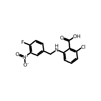 O=C(O)c1c(Cl)cccc1NCc1ccc(F)c([N+](=O)[O-])c1